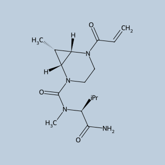 C=CC(=O)N1CCN(C(=O)N(C)[C@H](C(N)=O)C(C)C)[C@@H]2[C@H](C)[C@@H]21